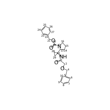 O=C(COCc1ccccc1)NC1(C2CCCN2C(=O)OCc2ccccc2)CC1